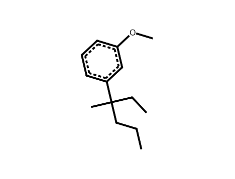 CCCC(C)(CC)c1cccc(OC)c1